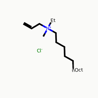 C=CC[N+](C)(CC)CCCCCCCCCCCCC.[Cl-]